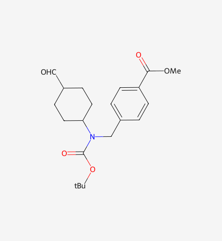 COC(=O)c1ccc(CN(C(=O)OC(C)(C)C)C2CCC(C=O)CC2)cc1